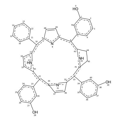 Oc1cccc(-c2c3nc(c(-c4ccccc4)c4ccc([nH]4)c(-c4cccc(O)c4)c4nc(c(-c5cccc(O)c5)c5[nH]c2CC5)C=C4)C=C3)c1